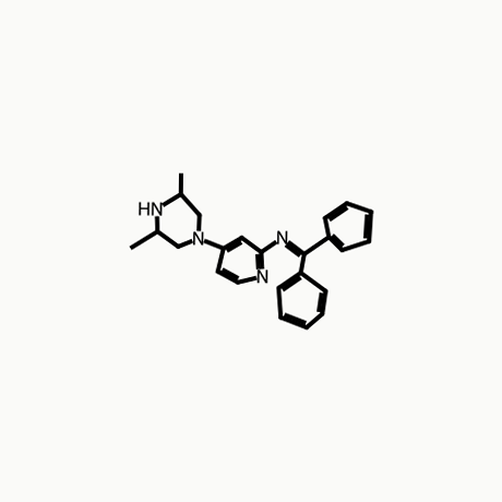 CC1CN(c2ccnc(N=C(c3ccccc3)c3ccccc3)c2)CC(C)N1